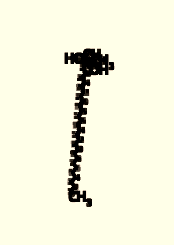 CCCCCCCCCCCCCCCCCCCCCCCCCCCCN(C(C)O)C(C)O